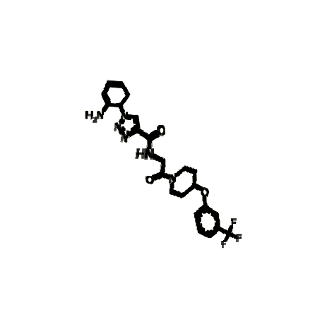 NC1=CC=CCC1n1cc(C(=O)NCC(=O)N2CCC(Oc3cccc(C(F)(F)F)c3)CC2)nn1